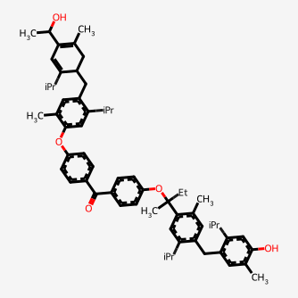 CCC(C)(Oc1ccc(C(=O)c2ccc(Oc3cc(C(C)C)c(CC4CC(C)=C(C(C)O)C=C4C(C)C)cc3C)cc2)cc1)c1cc(C(C)C)c(Cc2cc(C)c(O)cc2C(C)C)cc1C